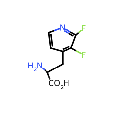 NC(Cc1ccnc(F)c1F)C(=O)O